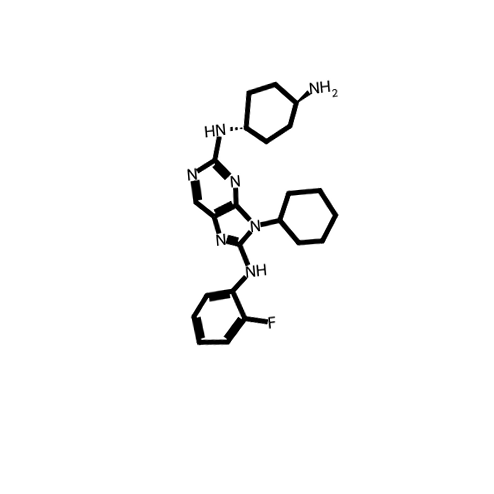 N[C@H]1CC[C@H](Nc2ncc3nc(Nc4ccccc4F)n(C4CCCCC4)c3n2)CC1